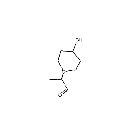 CC(C=O)N1CCC(O)CC1